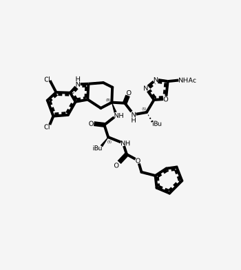 CCC(C)[C@H](NC(=O)OCc1ccccc1)C(=O)N[C@]1(C(=O)N[C@H](c2nnc(NC(C)=O)o2)C(C)CC)CCc2[nH]c3c(Cl)cc(Cl)cc3c2C1